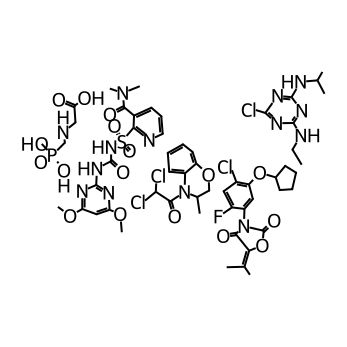 CC(C)=C1OC(=O)N(c2cc(OC3CCCC3)c(Cl)cc2F)C1=O.CC1COc2ccccc2N1C(=O)C(Cl)Cl.CCNc1nc(Cl)nc(NC(C)C)n1.COc1cc(OC)nc(NC(=O)NS(=O)(=O)c2ncccc2C(=O)N(C)C)n1.O=C(O)CNCP(=O)(O)O